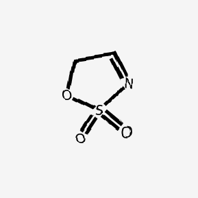 O=S1(=O)N=CCO1